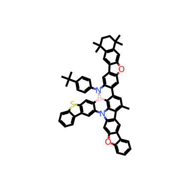 Cc1cc2c3c4c1c1cc5c(cc1n4-c1cc4c(cc1B3N(c1ccc(C(C)(C)C)cc1)c1cc3c(cc1-2)oc1cc2c(cc13)C(C)(C)CCC2(C)C)sc1ccccc14)oc1ccccc15